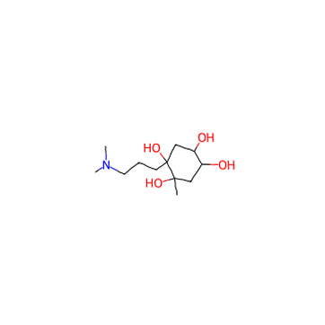 CN(C)CCCC1(O)CC(O)C(O)CC1(C)O